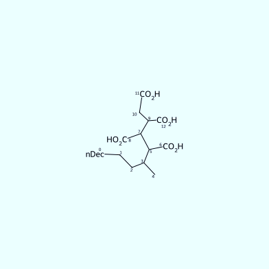 CCCCCCCCCCCCC(C)C(C(=O)O)C(C(=O)O)C(CC(=O)O)C(=O)O